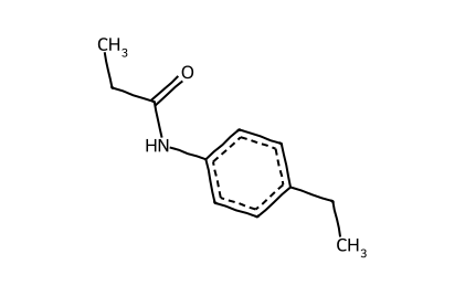 CCC(=O)Nc1ccc(CC)cc1